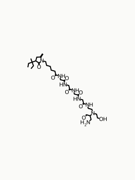 C=C1CC(C(C)(CC)CC)C(=O)N1CCCCCC(=O)NCC(=O)NCC(=O)NCC(=O)NCC(=O)NCCN(CCO)C(C=O)CN